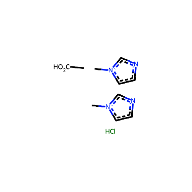 CC(=O)O.Cl.Cn1ccnc1.Cn1ccnc1